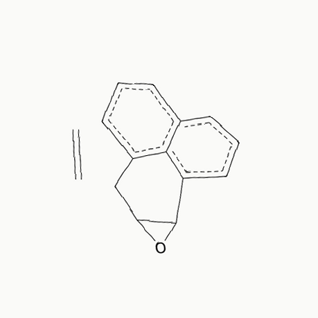 C=C.c1cc2c3c(cccc3c1)C1OC1C2